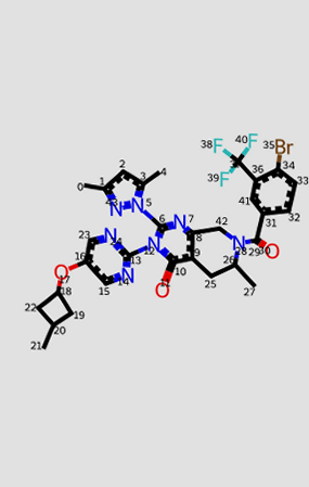 Cc1cc(C)n(-c2nc3c(c(=O)n2-c2ncc(OC4CC(C)C4)cn2)CC(C)N(C(=O)c2ccc(Br)c(C(F)(F)F)c2)C3)n1